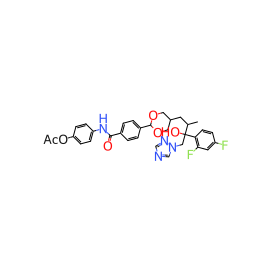 CC(=O)Oc1ccc(NC(=O)c2ccc(C3OCC(CC(C)C(O)(Cn4cncn4)c4ccc(F)cc4F)CO3)cc2)cc1